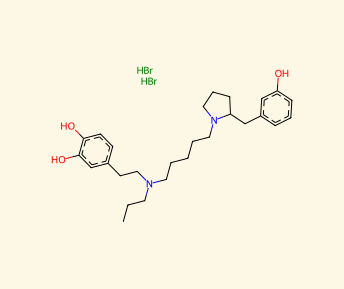 Br.Br.CCCN(CCCCCN1CCCC1Cc1cccc(O)c1)CCc1ccc(O)c(O)c1